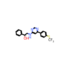 O[C@@H](CNc1cc(-c2ccc(SC(F)(F)F)cc2)ncn1)c1ccccc1